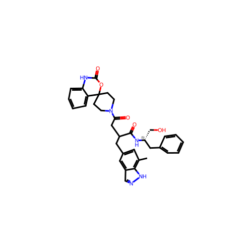 Cc1cc(CC(CC(=O)N2CCC3(CC2)OC(=O)Nc2ccccc23)C(=O)N[C@H](CO)Cc2ccccc2)cc2cn[nH]c12